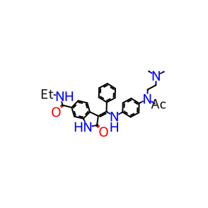 CCNC(=O)c1ccc2c(c1)NC(=O)/C2=C(\Nc1ccc(N(CCN(C)C)C(C)=O)cc1)c1ccccc1